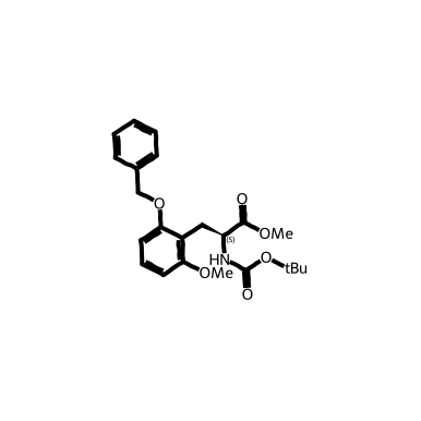 COC(=O)[C@H](Cc1c(OC)cccc1OCc1ccccc1)NC(=O)OC(C)(C)C